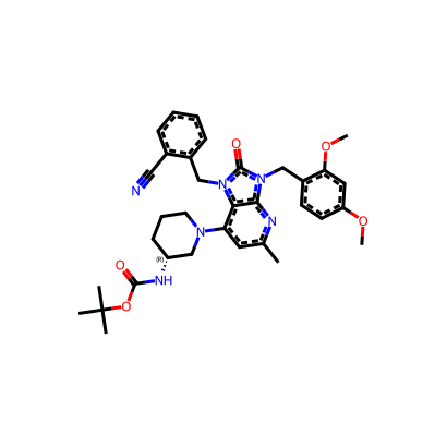 COc1ccc(Cn2c(=O)n(Cc3ccccc3C#N)c3c(N4CCC[C@@H](NC(=O)OC(C)(C)C)C4)cc(C)nc32)c(OC)c1